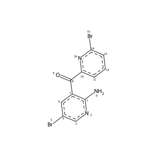 Nc1ncc(Br)cc1C(=O)c1cccc(Br)n1